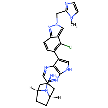 Cn1ccnc1Cn1cc2c(Cl)c(-c3c[nH]c4nc(N5[C@@H]6CC[C@H]5C[C@@H](N)C6)cnc34)ccc2n1